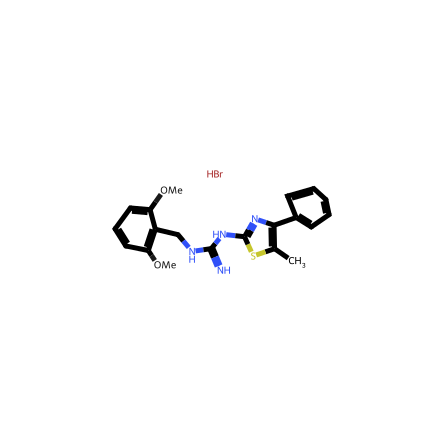 Br.COc1cccc(OC)c1CNC(=N)Nc1nc(-c2ccccc2)c(C)s1